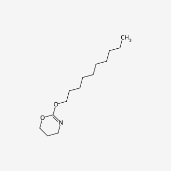 CCCCCCCCCCOC1=NCCCO1